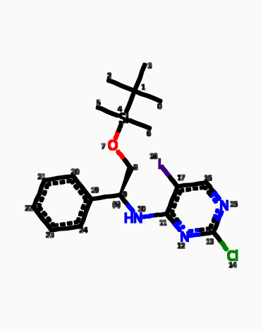 CC(C)(C)[Si](C)(C)OC[C@@H](Nc1nc(Cl)ncc1I)c1ccccc1